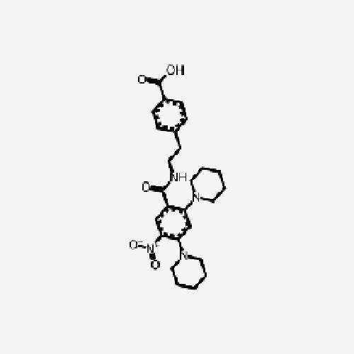 O=C(O)c1ccc(CCNC(=O)c2cc([N+](=O)[O-])c(N3CCCCC3)cc2N2CCCCC2)cc1